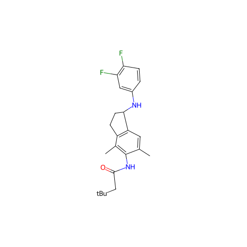 Cc1cc2c(c(C)c1NC(=O)CC(C)(C)C)CCC2Nc1ccc(F)c(F)c1